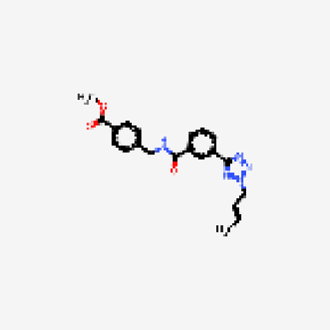 CC=CCn1nnc(-c2cccc(C(=O)NCc3ccc(C(=O)OC)cc3)c2)n1